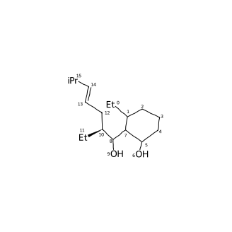 CCC1CCCC(O)C1C(O)[C@@H](CC)C/C=C/C(C)C